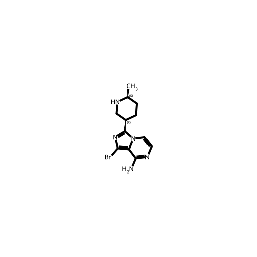 C[C@H]1CC[C@@H](c2nc(Br)c3c(N)nccn23)CN1